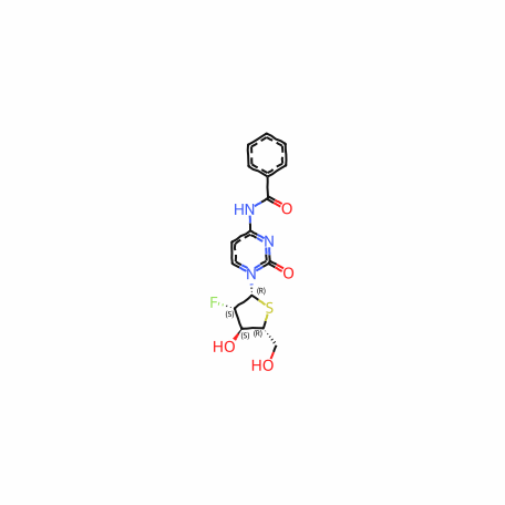 O=C(Nc1ccn([C@@H]2S[C@H](CO)[C@@H](O)[C@@H]2F)c(=O)n1)c1ccccc1